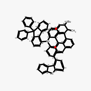 CC1C(c2cccc3cccc(-c4ccccc4N(c4ccc(-c5cccc6sc7ccccc7c56)cc4)c4cccc5c4-c4ccccc4C5(c4ccccc4)c4ccccc4)c23)=CC(C(C)(C)C)=CC1C(C)(C)C